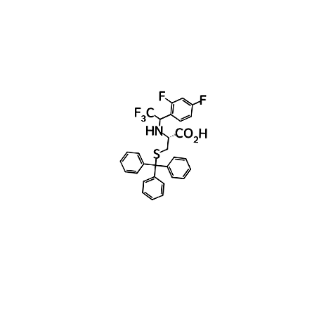 O=C(O)[C@H](CSC(c1ccccc1)(c1ccccc1)c1ccccc1)NC(c1ccc(F)cc1F)C(F)(F)F